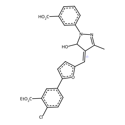 CCOC(=O)c1cc(-c2ccc(/C=C3/C(C)=NN(c4cccc(C(=O)O)c4)C3O)o2)ccc1Cl